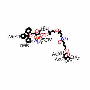 COc1ccc(C(OC[C@H]2OC(C(C)(C)C)[C@H](OCOC(C)(C)CCOC(C)(C)CCNC(=O)CCCCOC3OC(COC(C)=O)C(OC(C)=O)C(OC(C)=O)C3NC(C)=O)[C@@H]2OP(OCCC#N)N(C(C)C)C(C)C)(c2ccccc2)c2ccc(OC)cc2)cc1